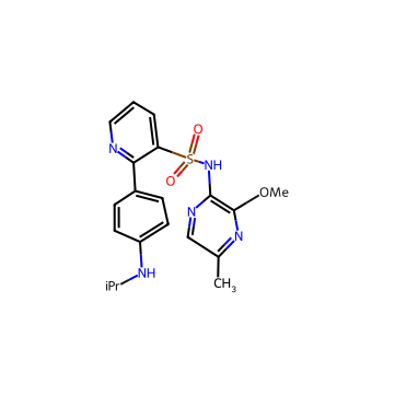 COc1nc(C)cnc1NS(=O)(=O)c1cccnc1-c1ccc(NC(C)C)cc1